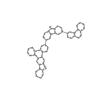 c1ccc2c(c1)ccc1ccc(-c3ccc4sc5ccc(-c6ccc7c(c6)c6ccccc6c6cc8c(cc76)sc6ccccc68)cc5c4c3)cc12